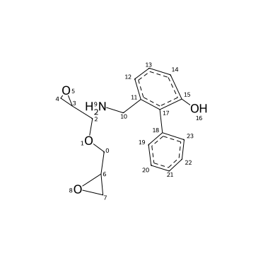 C(OCC1CO1)C1CO1.NCc1cccc(O)c1-c1ccccc1